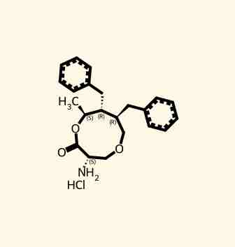 C[C@@H]1OC(=O)[C@@H](N)COC[C@H](Cc2ccccc2)[C@H]1Cc1ccccc1.Cl